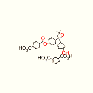 CC1(C)CC(c2ccc(O)cc2)(c2ccc(OC(=O)c3ccc(C(=O)O)cc3)cc2)CO1.O=C(O)c1cccc(C(=O)O)c1